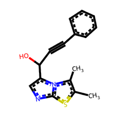 Cc1sc2ncc(C(O)C#Cc3ccccc3)n2c1C